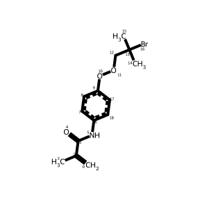 C=C(C)C(=O)Nc1ccc(OOCC(C)(C)Br)cc1